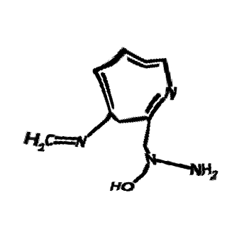 C=Nc1cccnc1N(N)O